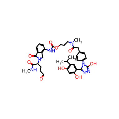 CNC(=O)C(CCC=O)N1Cc2c(NC(=O)OCCCN(C)C(=O)Cc3ccc(-n4c(O)nnc4-c4cc(C(C)C)c(O)cc4O)cc3)cccc2C1=O